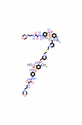 Cc1ccc(S(=O)(=O)Nc2ccc(NNC(=O)C(=O)NCCCN3CCOCC3)cc2)c(C(=O)O)c1NOCc1ccc[n+](CCSCC[n+]2cccc(C(=O)Nc3c(C)ccc(S(=O)(=O)Nc4ccc(NNC(=O)C(=O)NCCCN5CCOCC5)cc4)c3C(=O)O)c2)c1